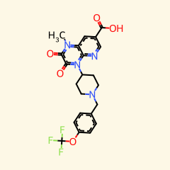 Cn1c(=O)c(=O)n(C2CCN(Cc3ccc(OC(F)(F)F)cc3)CC2)c2ncc(C(=O)O)cc21